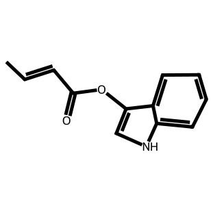 CC=CC(=O)Oc1c[nH]c2ccccc12